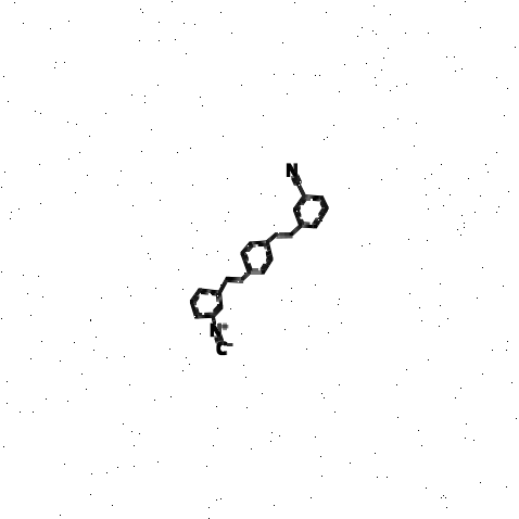 [C-]#[N+]c1cccc(C=Cc2ccc(C=Cc3cccc(C#N)c3)cc2)c1